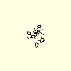 CCC1=Cc2c(ccc(CC)c2-c2ccccc2CC)[CH]1[Zr]([Cl])([Cl])([c]1cccc2c1[SiH2]c1ccccc1-2)[CH]1C(CC)=Cc2c1ccc(CC)c2-c1ccccc1CC